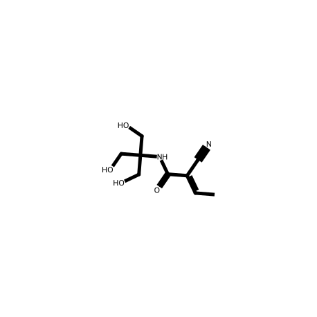 C/C=C(\C#N)C(=O)NC(CO)(CO)CO